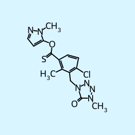 Cc1c(C(=S)Oc2ccnn2C)ccc(Cl)c1Cn1nnn(C)c1=O